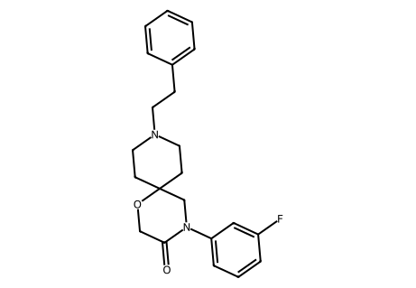 O=C1COC2(CCN(CCc3ccccc3)CC2)CN1c1cccc(F)c1